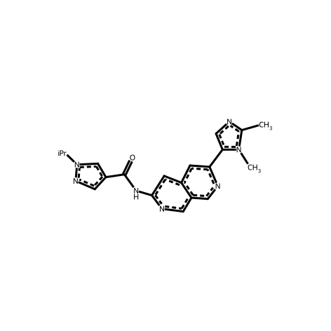 Cc1ncc(-c2cc3cc(NC(=O)c4cnn(C(C)C)c4)ncc3cn2)n1C